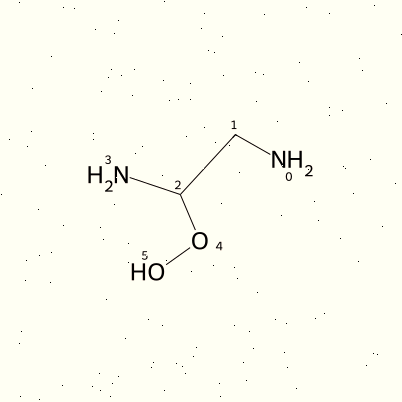 NCC(N)OO